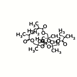 C=C(C)C(=O)OCC(C)(C)OP(=O)(OC(C)(C)COC(=O)C(=C)C)OC(C)(C)COC(=O)C(=C)C